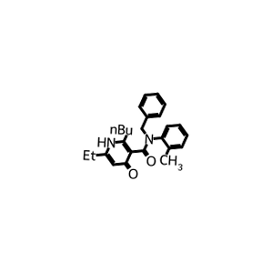 CCCCc1[nH]c(CC)cc(=O)c1C(=O)N(Cc1ccccc1)c1ccccc1C